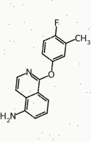 Cc1cc(Oc2nccc3c(N)cccc23)ccc1F